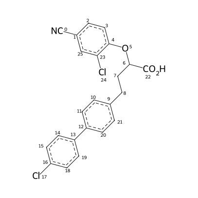 N#Cc1ccc(OC(CCc2ccc(-c3ccc(Cl)cc3)cc2)C(=O)O)c(Cl)c1